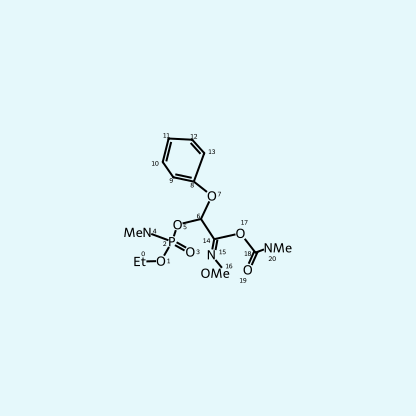 CCOP(=O)(NC)OC(Oc1ccccc1)/C(=N/OC)OC(=O)NC